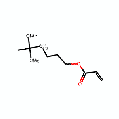 C=CC(=O)OCCC[SiH2]C(C)(OC)OC